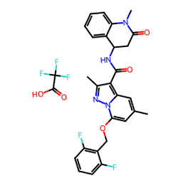 Cc1cc(OCc2c(F)cccc2F)n2nc(C)c(C(=O)NC3CC(=O)N(C)c4ccccc43)c2c1.O=C(O)C(F)(F)F